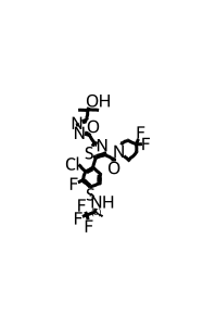 C[C@H](NSc1ccc(-c2sc(-c3nnc(C(C)(C)O)o3)nc2C(=O)N2CCC(F)(F)CC2)c(Cl)c1F)C(F)(F)F